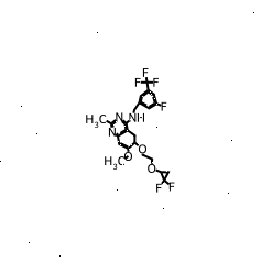 COC1=Cc2nc(C)nc(NCc3cc(F)cc(C(F)(F)F)c3)c2CC1OCCOC1CC1(F)F